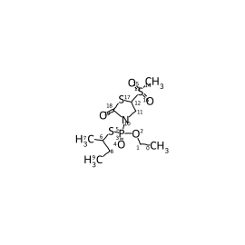 CCOP(=O)(SC(C)CC)N1CC(S(C)(=O)=O)SC1=O